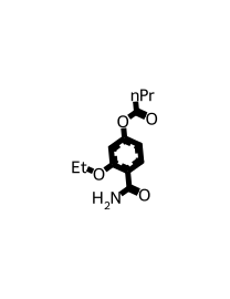 CCCC(=O)Oc1ccc(C(N)=O)c(OCC)c1